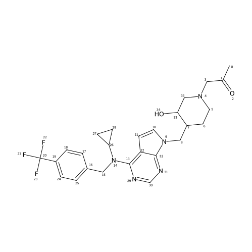 CC(=O)CN1CCC(Cn2ccc3c(N(Cc4ccc(C(F)(F)F)cc4)C4CC4)ncnc32)C(O)C1